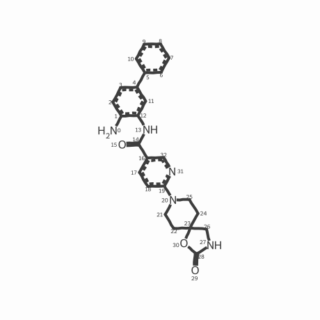 Nc1ccc(-c2ccccc2)cc1NC(=O)c1ccc(N2CCC3(CC2)CNC(=O)O3)nc1